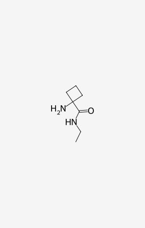 CCNC(=O)C1(N)CCC1